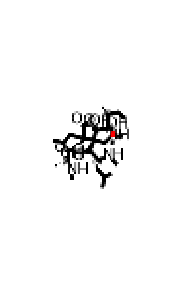 CC[C@@H](C)[C@@H](NC)C(=O)C(CC(C)O)(C(=O)[C@@H](CC(C)C)NC)C(CC(C)O)(OC(=O)[C@@H](C)NC)C(=O)O